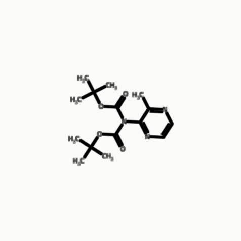 Cc1nccnc1N(C(=O)OC(C)(C)C)C(=O)OC(C)(C)C